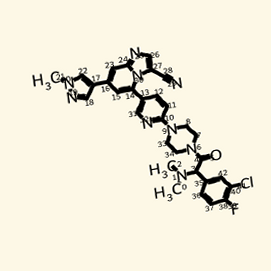 CN(C)C(C(=O)N1CCN(c2ccc(-c3cc(-c4cnn(C)c4)cc4ncc(C#N)n34)cn2)CC1)c1ccc(F)c(Cl)c1